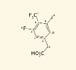 O=C(O)Cc1cc(F)c(C(F)(F)F)c(I)c1